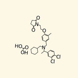 Cc1cc(CN(CC2CCCCC2)C(C)c2ccc(Cl)c(Cl)c2)ccc1OCCN1C(=O)CCC1=O.O=C(O)O